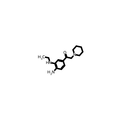 CCNc1cc(C(=O)CN2CCCCC2)ccc1N